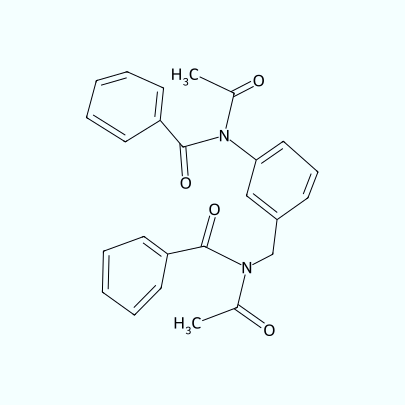 CC(=O)N(Cc1cccc(N(C(C)=O)C(=O)c2ccccc2)c1)C(=O)c1ccccc1